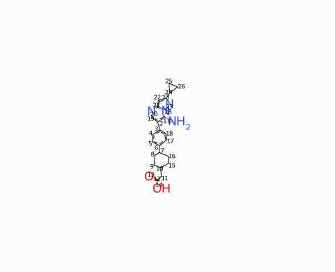 Nc1c(-c2ccc(C3CCC(CC(=O)O)CC3)cc2)cnc2cc(C3CC3)nn12